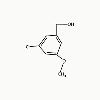 COc1cc(Cl)cc([CH]O)c1